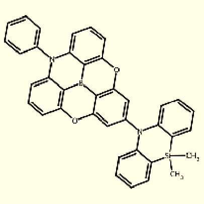 C[Si]1(C)c2ccccc2N(c2cc3c4c(c2)Oc2cccc5c2B4c2c(cccc2N5c2ccccc2)O3)c2ccccc21